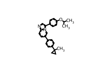 CC(C)Oc1ccc(-c2cnc3ccc(-c4ccc(C5(C)CC5)cc4)cn23)cc1